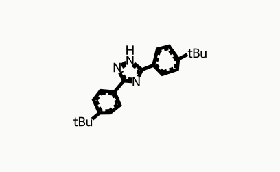 CC(C)(C)c1ccc(-c2n[nH]c(-c3ccc(C(C)(C)C)cc3)n2)cc1